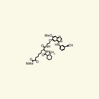 C#Cc1cccc(Nc2ncnc3cc(OC)c(OCCNC(=O)[C@H](CCCCCC(=O)C(=O)NC)NC(=O)C4CCCCN4C)cc23)c1